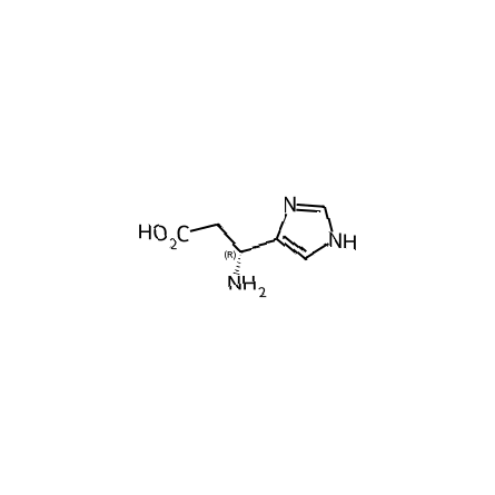 N[C@H](CC(=O)O)c1c[nH]cn1